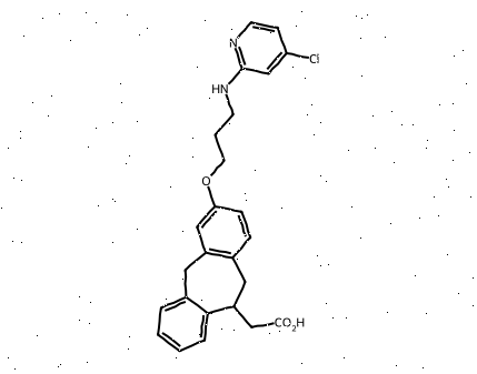 O=C(O)CC1Cc2ccc(OCCCNc3cc(Cl)ccn3)cc2Cc2ccccc21